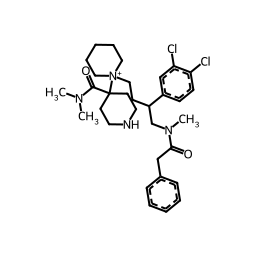 CN(C)C(=O)C1([N+]2(CCC(CN(C)C(=O)Cc3ccccc3)c3ccc(Cl)c(Cl)c3)CCCCC2)CCNCC1